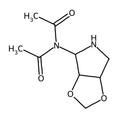 CC(=O)N(C(C)=O)C1NCC2OCOC21